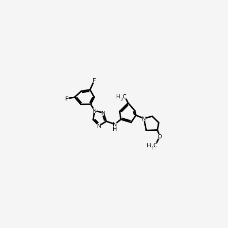 COC1CCN(c2cc(C)cc(Nc3ncn(-c4cc(F)cc(F)c4)n3)c2)C1